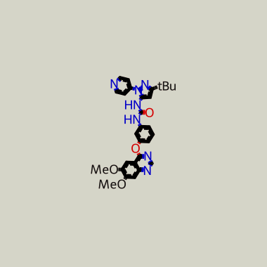 COc1cc2ncnc(Oc3cccc(NC(=O)Nc4cc(C(C)(C)C)nn4-c4ccncc4)c3)c2cc1OC